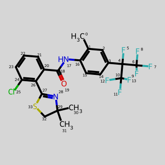 Cc1cc(C(F)(C(F)(F)F)C(F)(F)F)ccc1NC(=O)c1cccc(Cl)c1C1=NC(C)(C)CS1